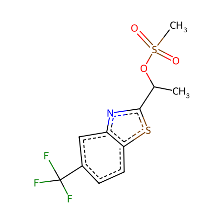 CC(OS(C)(=O)=O)c1nc2cc(C(F)(F)F)ccc2s1